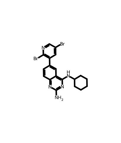 Nc1nc(NC2CCCCC2)c2cc(-c3cc(Br)cnc3Br)ccc2n1